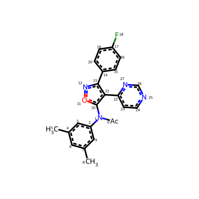 CC(=O)N(c1cc(C)cc(C)c1)c1onc(-c2ccc(F)cc2)c1-c1ccncn1